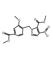 COC(=O)c1ccc(Cn2ncc([N+](=O)[O-])c2C(=O)OC)c(OC)c1